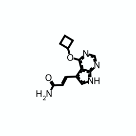 NC(=O)C=Cc1c[nH]c2ncnc(OC3CCC3)c12